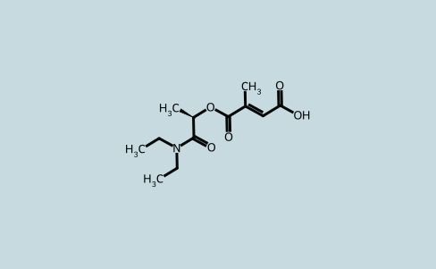 CCN(CC)C(=O)[C@@H](C)OC(=O)/C(C)=C/C(=O)O